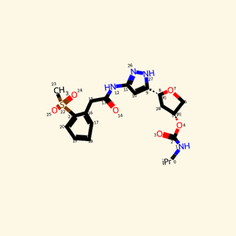 CC(C)NC(=O)O[C@H]1CO[C@@H](c2cc(NC(=O)Cc3ccccc3S(C)(=O)=O)n[nH]2)C1